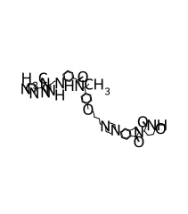 C[C@H](NC(=O)c1cccc(NCc2nnc(-c3ccncn3)n2C)c1)c1ccc(OCCCCN2CCN(c3ccc4c(c3)CN(C3CCC(=O)NC3=O)C4=O)CC2)cc1